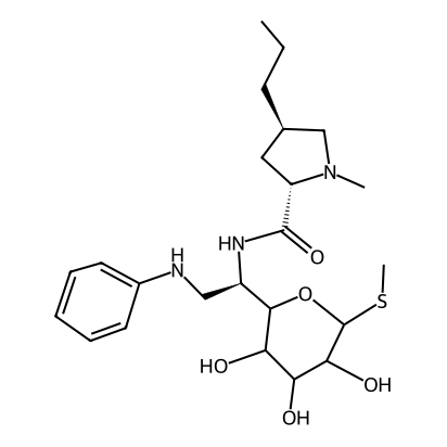 CCC[C@@H]1C[C@@H](C(=O)N[C@H](CNc2ccccc2)C2OC(SC)C(O)C(O)C2O)N(C)C1